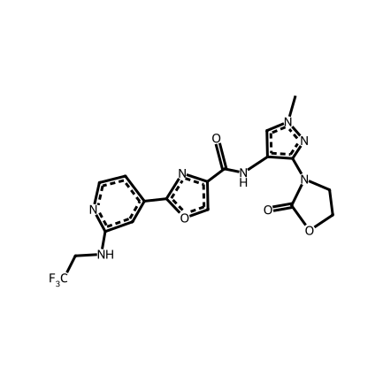 Cn1cc(NC(=O)c2coc(-c3ccnc(NCC(F)(F)F)c3)n2)c(N2CCOC2=O)n1